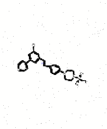 CS(=O)(=O)N1CCN(c2ccc(/C=C/c3cc(Cl)cc(-c4ccncc4)c3)cc2)CC1